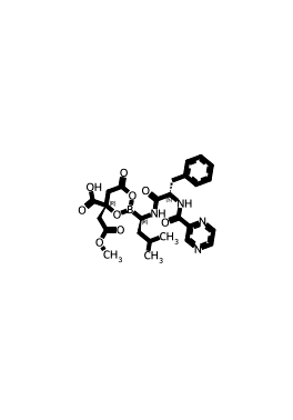 COC(=O)C[C@@]1(C(=O)O)CC(=O)OB([C@H](CC(C)C)NC(=O)[C@H](Cc2ccccc2)NC(=O)c2cnccn2)O1